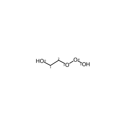 OCCOOO